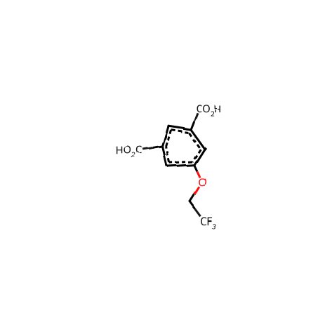 O=C(O)c1cc(OCC(F)(F)F)cc(C(=O)O)c1